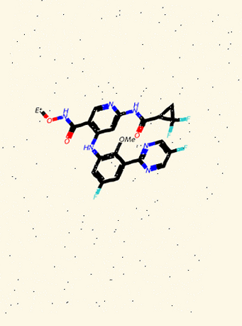 CCONC(=O)c1cnc(NC(=O)C2CC2(F)F)cc1Nc1cc(F)cc(-c2ncc(F)cn2)c1OC